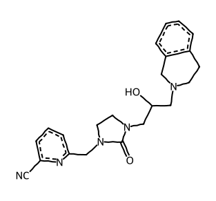 N#Cc1cccc(CN2CCN(CC(O)CN3CCc4ccccc4C3)C2=O)n1